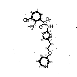 Cc1c(Cl)cccc1S(=O)(=O)Nc1nc(CCOc2cccnc2)cs1